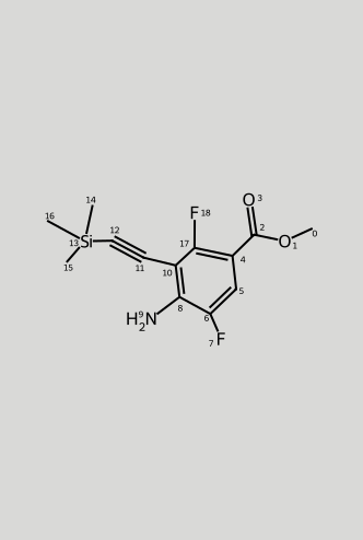 COC(=O)c1cc(F)c(N)c(C#C[Si](C)(C)C)c1F